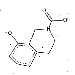 O=C(N1CCc2cccc(O)c2C1)C(F)(F)F